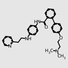 CN(C)CCOc1ccc(-c2ccccc2C(=O)Nc2ccc(NCCc3ccccn3)cc2)cc1